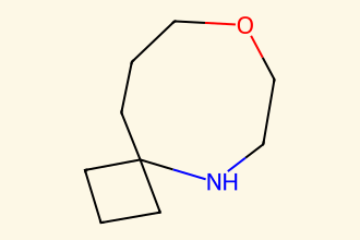 C1COCCNC2(C1)CCC2